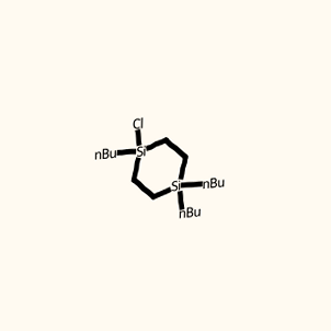 CCCC[Si]1(Cl)CC[Si](CCCC)(CCCC)CC1